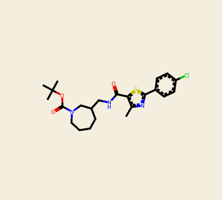 Cc1nc(-c2ccc(Cl)cc2)sc1C(=O)NCC1CCCCN(C(=O)OC(C)(C)C)C1